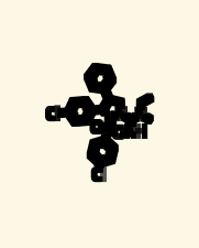 CCN(C)C(=N)N1CC(c2ccccc2)C(c2ccc(Cl)cc2)N1S(=O)(=O)c1ccc(Cl)cc1